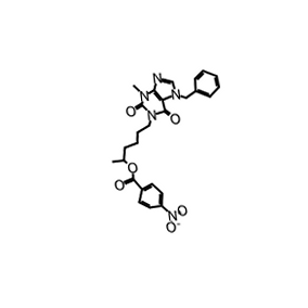 CC(CCCCn1c(=O)c2c(ncn2Cc2ccccc2)n(C)c1=O)OC(=O)c1ccc([N+](=O)[O-])cc1